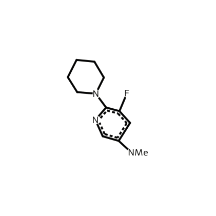 CNc1cnc(N2CCCCC2)c(F)c1